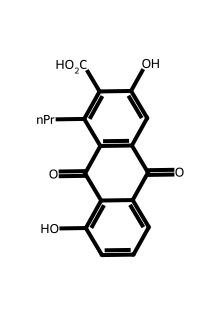 CCCc1c(C(=O)O)c(O)cc2c1C(=O)c1c(O)cccc1C2=O